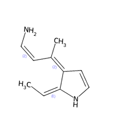 C/C=c1/[nH]cc/c1=C(C)/C=C\N